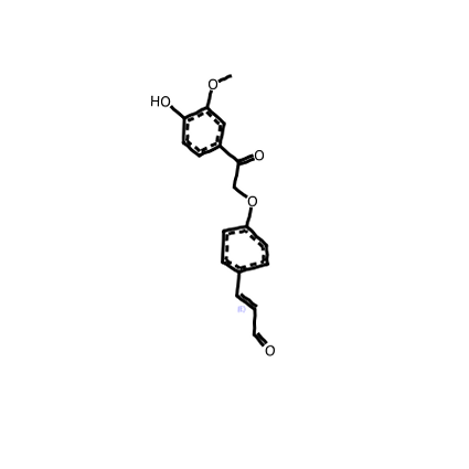 COc1cc(C(=O)COc2ccc(/C=C/C=O)cc2)ccc1O